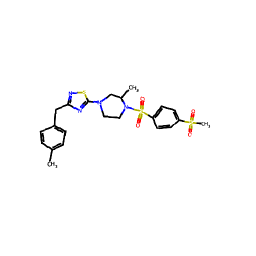 Cc1ccc(Cc2nsc(N3CCN(S(=O)(=O)c4ccc(S(C)(=O)=O)cc4)C(C)C3)n2)cc1